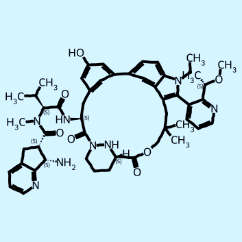 CCn1c(-c2cccnc2[C@H](C)OC)c2c3cc(ccc31)-c1cc(O)cc(c1)C[C@H](NC(=O)[C@H](C(C)C)N(C)C(=O)[C@H]1Cc3cccnc3[C@H]1N)C(=O)N1CCC[C@H](N1)C(=O)OCC(C)(C)C2